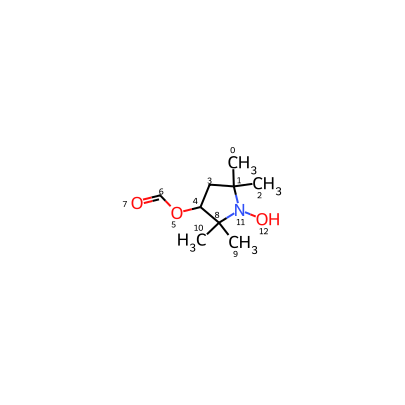 CC1(C)CC(OC=O)C(C)(C)N1O